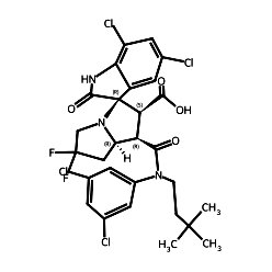 CC(C)(C)CCN(C(=O)[C@H]1[C@H]2CC(F)(F)CN2[C@]2(C(=O)Nc3c(Cl)cc(Cl)cc32)[C@H]1C(=O)O)c1cc(Cl)cc(Cl)c1